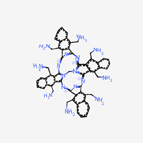 NCc1c2c(c(CN)c3ccccc13)/C1=N/c3c4c(CN)c5ccccc5c(CN)c4c4n3Cn3/c(c5c(CN)c6ccccc6c(CN)c5/c3=N/C3=NC(=N\4)/c4c3c(CN)c3ccccc3c4CN)=N\C2=N1